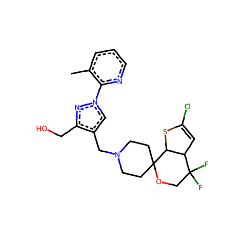 Cc1cccnc1-n1cc(CN2CCC3(CC2)OCC(F)(F)C2C=C(Cl)SC23)c(CO)n1